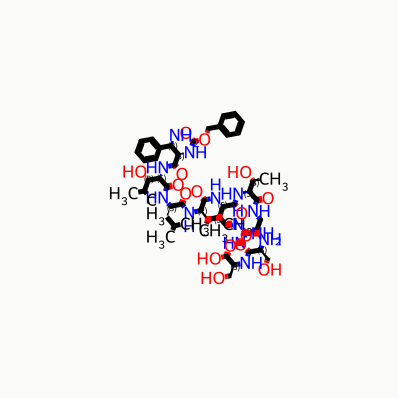 CC[C@H](C)[C@H](NC(=O)[C@@H](CCCNC(=N)N)NC(=O)[C@H](CC(C)C)NC(=O)[C@@H](NC(=O)[C@@H](NC(=O)OCc1ccccc1)[C@H](N)c1ccccc1)[C@H](O)C(C)C)C(=O)N[C@H](C(=O)NCC(=O)N[C@@H](CO)C(=O)N[C@@H](CO)C(=O)O)[C@H](C)O